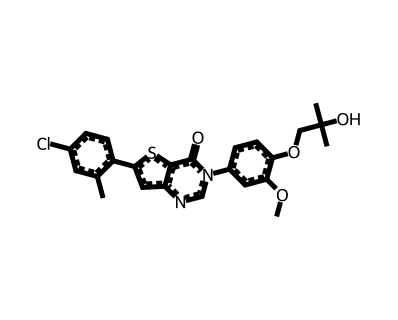 COc1cc(-n2cnc3cc(-c4ccc(Cl)cc4C)sc3c2=O)ccc1OCC(C)(C)O